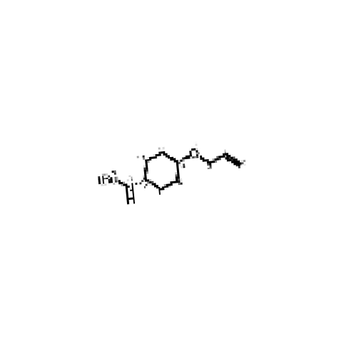 C=CCO[C@H]1CC[C@H](NC(C)(C)C)CC1